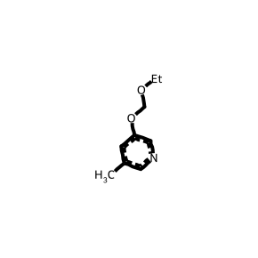 CCOCOc1cncc(C)c1